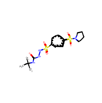 CC(NC(=O)NNS(=O)(=O)c1ccc(S(=O)(=O)N2CCCC2)cc1)(C(F)(F)F)C(F)(F)F